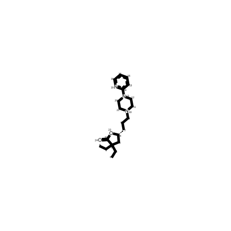 CCC1(CC)C[C@@H](CCCN2CCN(c3ccccn3)CC2)OC1=O